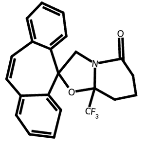 O=C1CCCC2(C(F)(F)F)OC3(CN12)c1ccccc1C=Cc1ccccc13